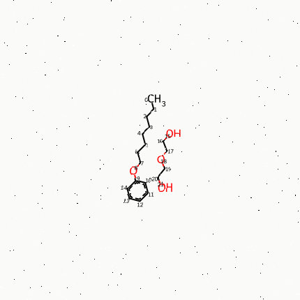 CCCCCCCCOc1ccccc1.OCCOCCO